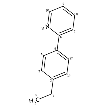 CCc1ccc(-c2c[c]ccn2)cc1